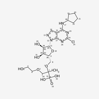 CC(COCCO)(OC[C@H]1O[C@@H](n2ncc3c(NC4CCCC4)nc(Cl)nc32)[C@H](O)[C@@H]1O)P(=O)(O)O